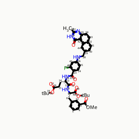 COC(=O)c1cccc(C[C@H](NC(=O)[C@H](CCC(=O)OC(C)(C)C)NC(=O)c2ccc(NCc3ccc4ccc5nc(C)[nH]c(=O)c5c4c3)cc2F)C(=O)OC(C)(C)C)c1